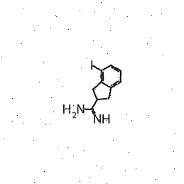 N=C(N)C1Cc2cccc(I)c2C1